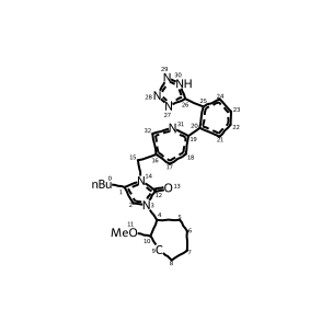 CCCCc1cn(C2CCCCCC2OC)c(=O)n1Cc1ccc(-c2ccccc2-c2nnn[nH]2)nc1